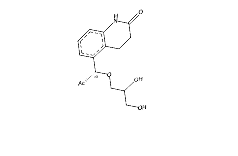 CC(=O)[C@@H](OCC(O)CO)c1cccc2c1CCC(=O)N2